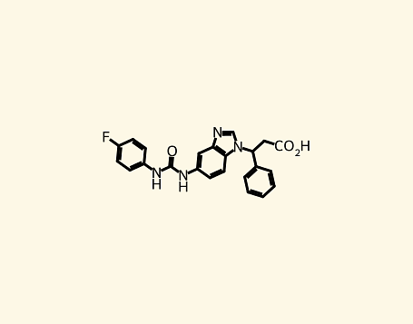 O=C(O)CC(c1ccccc1)n1cnc2cc(NC(=O)Nc3ccc(F)cc3)ccc21